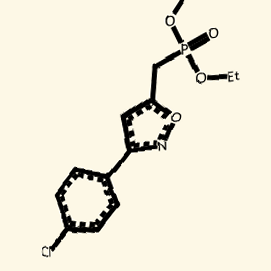 CCOP(=O)(Cc1cc(-c2ccc(Cl)cc2)no1)OCC